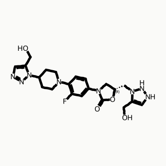 O=C1O[C@@H](CN2NNC=C2CO)CN1c1ccc(N2CCC(n3nncc3CO)CC2)c(F)c1